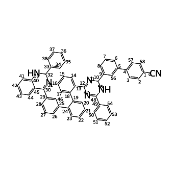 N#Cc1ccc(-c2cccc(C3N=C(c4ccccc4-c4ccccc4-c4cccc(C5=NC(c6ccccc6)Nc6ccccc65)c4)N=C(c4ccccc4)N3)c2)cc1